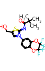 CC(C)(C)C(=O)N=c1sc(CO)cn1-c1ccc2c(c1)OC(F)(F)C(F)(F)O2